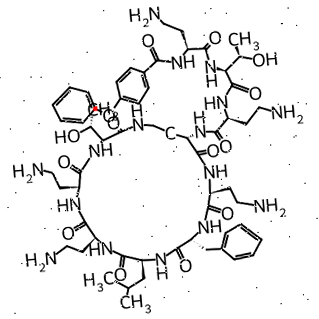 CC(C)C[C@@H]1NC(=O)[C@@H](Cc2ccccc2)NC(=O)[C@H](CCN)NC(=O)[C@@H](NC(=O)[C@H](CCN)NC(=O)[C@@H](NC(=O)[C@H](CCN)NC(=O)c2ccc(Oc3ccccc3)cc2)[C@@H](C)O)CCNC(=O)[C@H]([C@@H](C)O)NC(=O)[C@H](CCN)NC(=O)[C@H](CCN)NC1=O